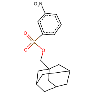 O=[N+]([O-])c1cccc(S(=O)(=O)OCC23CC4CC(CC(C4)C2)C3)c1